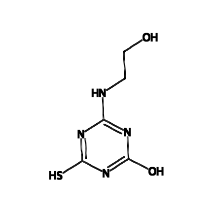 OCCNc1nc(O)nc(S)n1